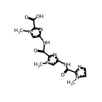 Cn1cc(NC(=O)c2nc(NC(=O)c3nccn3C)cn2C)nc1C(=O)O